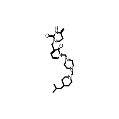 C=C1CCN(Cc2cccn(CN3CCN(CN4CCC(CC(C)C)CC4)CC3)c2=O)C(=O)N1